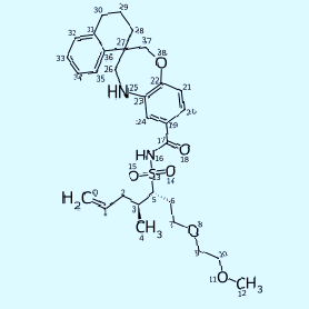 C=CC[C@H](C)[C@@H](CCOCCOC)S(=O)(=O)NC(=O)c1ccc2c(c1)NCC1(CCCc3ccccc31)CO2